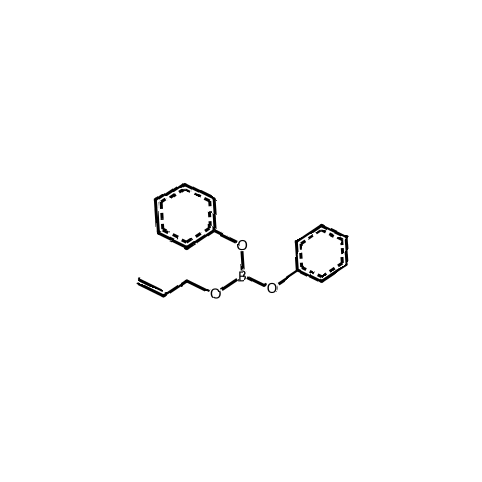 C=CCOB(Oc1ccccc1)Oc1ccccc1